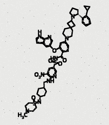 CN1CCS(=O)(=NC2CCC(CNc3ncc(S(=O)(=O)NC(=O)c4ccc(N5CCC6(CC5)CC(N5CCC[C@@H]5c5ccccc5C5CC5)C6)cc4Oc4cnc5[nH]ccc5c4)cc3[N+](=O)[O-])CC2)CC1